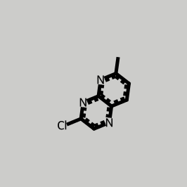 Cc1ccc2ncc(Cl)nc2n1